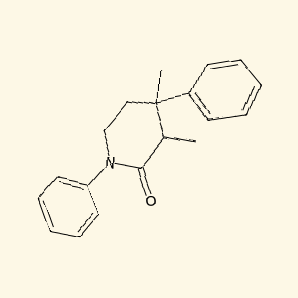 CC1C(=O)N(c2ccccc2)CCC1(C)c1ccccc1